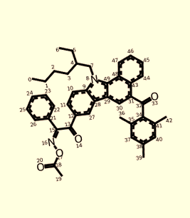 CCCCC(CC)Cn1c2ccc(C(=O)/C(=N\OC(C)=O)c3ccccc3)cc2c2cc(C(=O)c3c(C)cc(C)cc3C)c3ccccc3c21